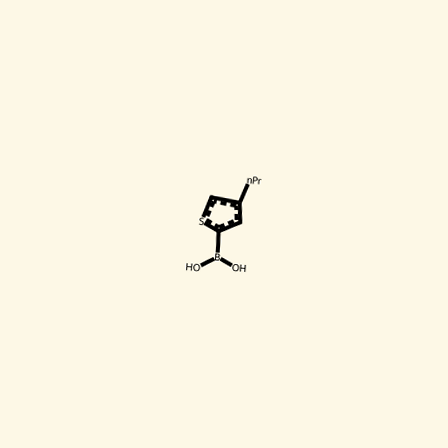 CCCc1csc(B(O)O)c1